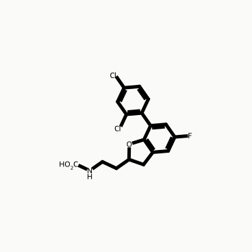 O=C(O)NCCC1Cc2cc(F)cc(-c3ccc(Cl)cc3Cl)c2O1